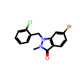 Cn1c(=O)c2ccc(Br)cc2n1Cc1ccccc1Cl